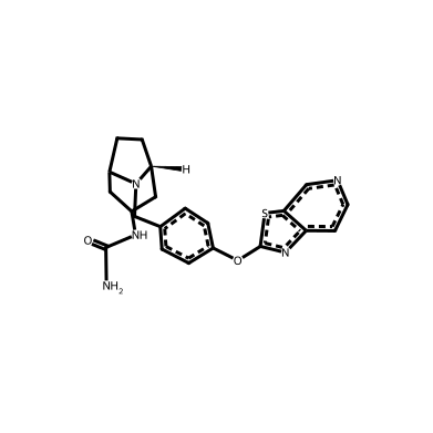 NC(=O)NC1CC2CC[C@H](C1)N2Cc1ccc(Oc2nc3ccncc3s2)cc1